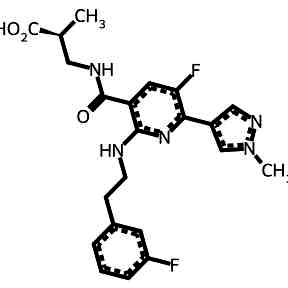 C[C@@H](CNC(=O)c1cc(F)c(-c2cnn(C)c2)nc1NCCc1cccc(F)c1)C(=O)O